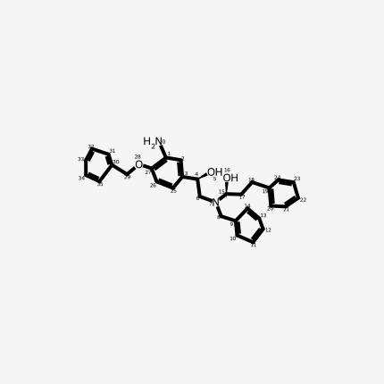 Nc1cc([C@@H](O)CN(Cc2ccccc2)[C@@H](O)CCc2ccccc2)ccc1OCc1ccccc1